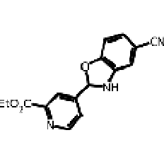 CCOC(=O)c1cc(C2Nc3cc(C#N)ccc3O2)ccn1